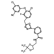 CC1(C)OCC(CNC(=O)c2cccc(-c3nnc(Cc4ccc(Cl)c(Oc5cc(Cl)cc(C#N)c5)c4F)o3)c2)O1